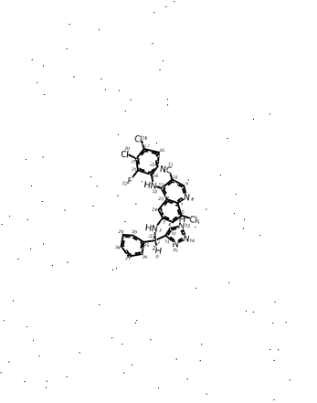 [2H][C@](Nc1cc(Cl)c2ncc(C#N)c(Nc3ccc(Cl)c(Cl)c3F)c2c1)(c1ccccc1)c1c[nH]nn1